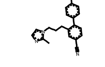 Cc1nccn1CCCc1cc(C#N)ccc1-c1ccc(Br)cc1